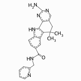 CC1(C)Cc2cnc(N)nc2-c2[nH]c3ccc(C(=O)NCc4ccccn4)cc3c21